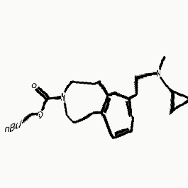 CCCCOC(=O)N1CCc2c(cccc2CN(C)C2CC2)C1